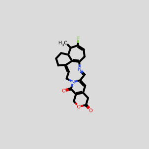 CC1C(F)=CCC2=C3C(=C/Cn4c(cc5c(c4=O)COC(=O)C5)/C=N/2)/CCCC31